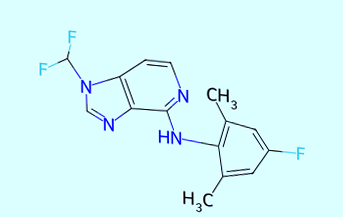 Cc1cc(F)cc(C)c1Nc1nccc2c1ncn2C(F)F